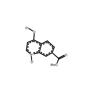 CCOc1cc[n+]([O-])c2cc(C(=O)OC)ccc12